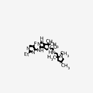 CCc1ncc(F)c(Nc2n[nH]c3c2CN(C(=O)NCC2(C)C[C@@H](C)CN2C)C3(C)C)n1